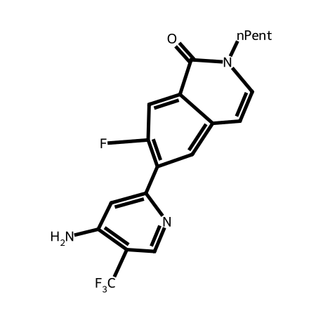 CCCCCn1ccc2cc(-c3cc(N)c(C(F)(F)F)cn3)c(F)cc2c1=O